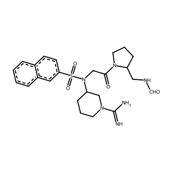 N=C(N)N1CCCC(N(CC(=O)N2CCCC2CNC=O)S(=O)(=O)c2ccc3ccccc3c2)C1